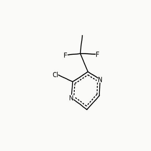 CC(F)(F)c1nccnc1Cl